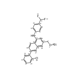 CCOCc1nc(Nc2ccc(C(F)F)cc2)c2ccc(-c3ncccc3Cl)nc2n1